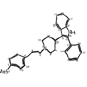 CSc1ccc(CCN2CCC(c3c(-c4ccccc4)[nH]c4ccccc34)CC2)cc1